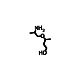 CC(N)COC(C)CCO